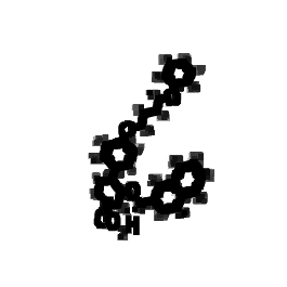 O=C(O)N1CCC(c2ccc(OCCCCOc3ccccc3)cc2)C(OCc2ccc3ccccc3c2)C1